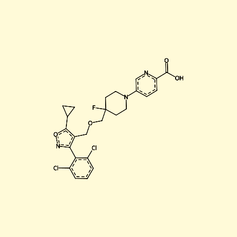 O=C(O)c1ccc(N2CCC(F)(COCc3c(-c4c(Cl)cccc4Cl)noc3C3CC3)CC2)cn1